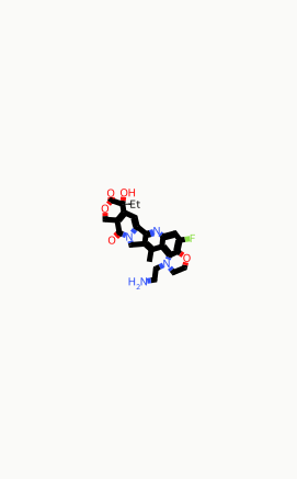 CC[C@@]1(O)C(=O)OCc2c1cc1n(c2=O)Cc2c-1nc1cc(F)c3c(c1c2C)N(CCN)CCO3